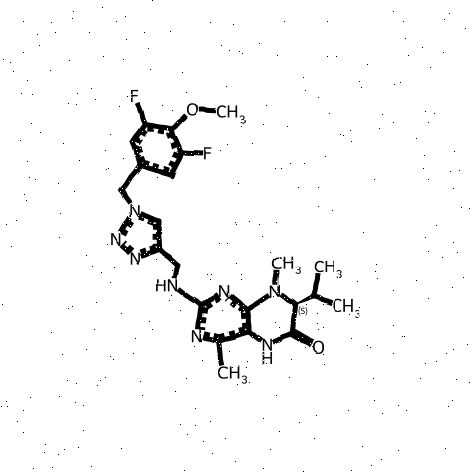 COc1c(F)cc(Cn2cc(CNc3nc(C)c4c(n3)N(C)[C@@H](C(C)C)C(=O)N4)nn2)cc1F